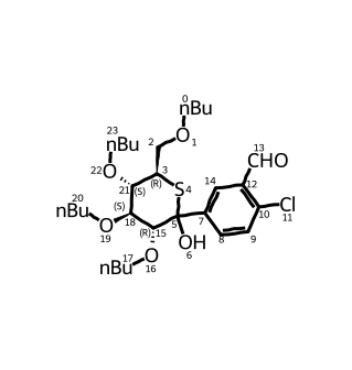 CCCCOC[C@H]1SC(O)(c2ccc(Cl)c(C=O)c2)[C@H](OCCCC)[C@@H](OCCCC)[C@@H]1OCCCC